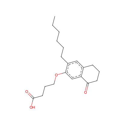 CCCCCCc1cc2c(cc1OCCCC(=O)O)C(=O)CCC2